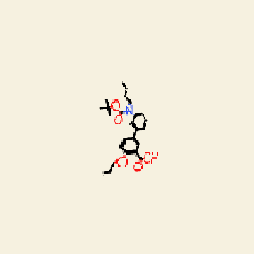 CCCCN(C(=O)OC(C)(C)C)c1cccc(-c2ccc(OCCC)c(C(=O)O)c2)c1